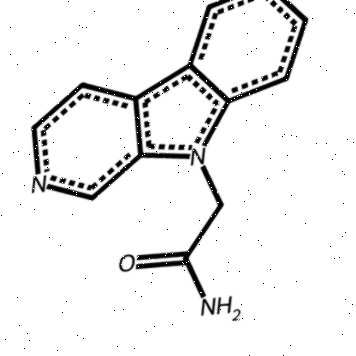 NC(=O)Cn1c2ccccc2c2ccncc21